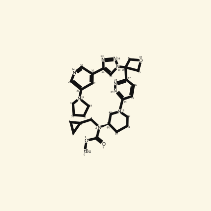 CC(C)(C)OC(=O)N(CC1CC1)[C@@H]1CCCN(c2ccc(C3(n4cc(-c5cncc(N6CCCC6)c5)nn4)COC3)nn2)C1